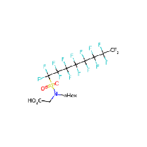 CCCCCCN(CC(=O)O)S(=O)(=O)C(F)(F)C(F)(F)C(F)(F)C(F)(F)C(F)(F)C(F)(F)C(F)(F)C(F)(F)F